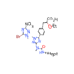 CCCCCCCNC(=O)N(C)c1nc(-c2ccc(CC(OCC)C(=O)O)cc2)n(C)n1.Cn1nc([N+](=O)[O-])nc1Br